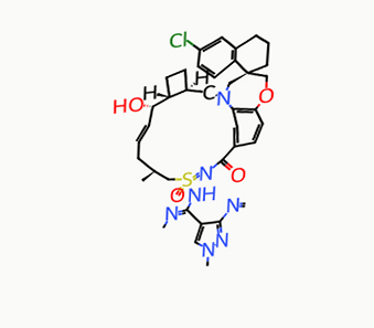 C=Nc1nn(C)cc1/C(=N\C)N[S@@]1(=O)=NC(=O)c2ccc3c(c2)N(C[C@@H]2CC[C@H]2[C@@H](O)/C=C/C[C@H](C)C1)C[C@@]1(CCCc2cc(Cl)ccc21)CO3